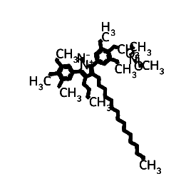 CCCCCCCCCCCCCCCCC1=C(c2cc(CC)c(CC)c(CC)c2)[N+](=[N-])C(c2cc(CC)c(CC)c(CC)c2)=C1CCCC.C[O][Ni][O]C